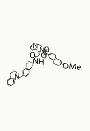 COc1ccc2cc(S(=O)(=O)N3CCn4cccc4C3CC(=O)NC3CCc4cc(CN5CCCc6ccccc65)ccc4C3)ccc2c1